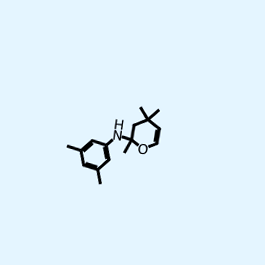 Cc1cc(C)cc(NC2(C)CC(C)(C)C=CO2)c1